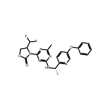 Cc1nc(N[C@@H](C)c2ccc(Oc3ccccc3)cn2)nc(N2C(=O)OCC2C(F)F)n1